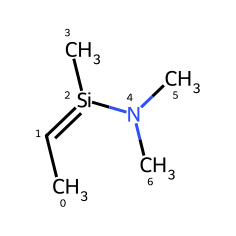 CC=[Si](C)N(C)C